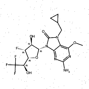 COc1nc(N)nc2c1n(CC1CC1)c(=O)n2[C@@H]1O[C@H]([C@@H](O)C(F)(F)F)[C@H](F)[C@H]1O